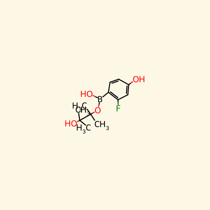 CC(C)(O)C(C)(C)OB(O)c1ccc(O)cc1F